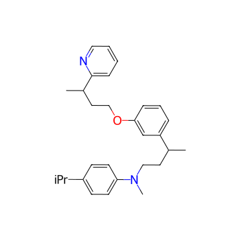 CC(C)c1ccc(N(C)CCC(C)c2cccc(OCCC(C)c3ccccn3)c2)cc1